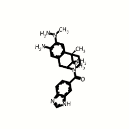 CN(N)c1cc2c(cc1N)CC1N(C(=O)c3ccc4nc[nH]c4c3)CC[C@]2(C)C1(C)C